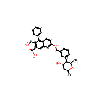 CC1C[C@H](O)C(c2cccc(COc3ccc4c(-c5ccccc5)c(CO)c(C(=O)O)cc4c3)c2)C(C)O1